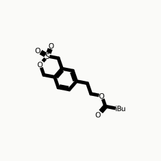 CCC(C)C(=O)OCCc1ccc2c(c1)CS(=O)(=O)OC2